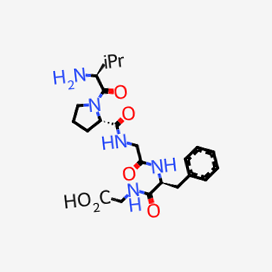 CC(C)[C@H](N)C(=O)N1CCC[C@H]1C(=O)NCC(=O)N[C@@H](Cc1ccccc1)C(=O)NCC(=O)O